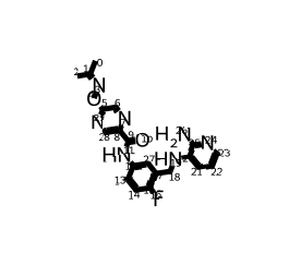 CC(C)=NOc1cnc(C(=O)Nc2ccc(F)c(CNc3cccnc3N)c2)cn1